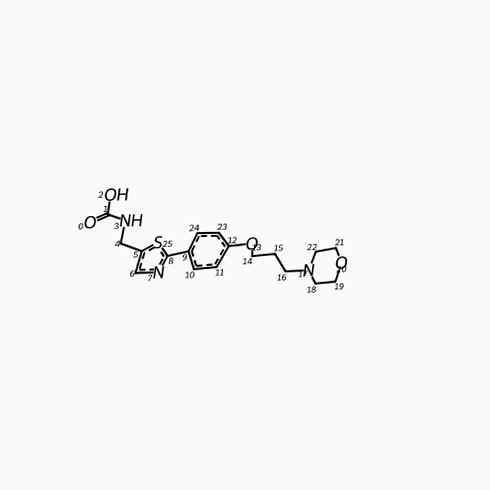 O=C(O)NCc1cnc(-c2ccc(OCCCN3CCOCC3)cc2)s1